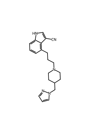 N#Cc1c[nH]c2cccc(CCCN3CCC(Cn4cccn4)CC3)c12